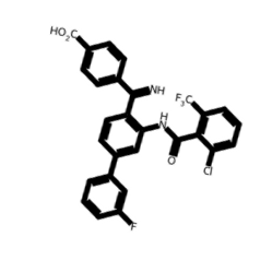 N=C(c1ccc(C(=O)O)cc1)c1ccc(-c2cccc(F)c2)cc1NC(=O)c1c(Cl)cccc1C(F)(F)F